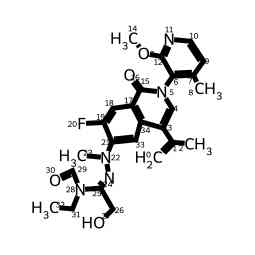 C=C(C)c1cn(-c2c(C)ccnc2OC)c(=O)c2cc(F)c(N(C)/N=C(/CO)N(C=O)CC)cc12